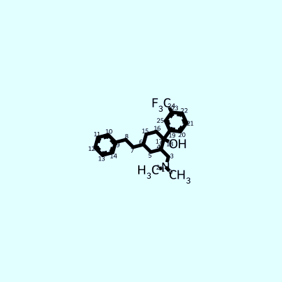 CN(C)CC1CC(CCc2ccccc2)CCC1(O)c1cccc(C(F)(F)F)c1